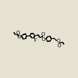 C=CC(=O)OCCc1ccc(OC(=O)/C=C/c2ccc(-c3ccc(OC(=O)C=C)cc3)cc2F)cc1